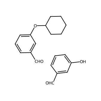 O=Cc1cccc(O)c1.O=Cc1cccc(OC2CCCCC2)c1